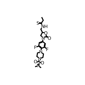 CCC(=S)NCC1CN(c2cc(F)c(N3CCN(S(=O)(=O)N(C)C)CC3)c(F)c2)C(=O)O1